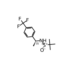 C[C@H](N[S@@+]([O-])C(C)(C)C)c1ccc(C(F)(F)F)cc1